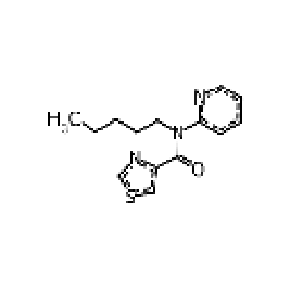 CCCCCN(C(=O)c1cscn1)c1ccccn1